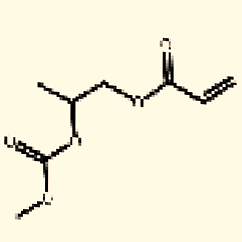 C=CC(=O)OCC(C)OC(=O)OC